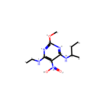 CCNc1nc(OC)nc(NC(C)CC)c1[N+](=O)[O-]